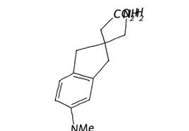 CNc1ccc2c(c1)CC(CN)(CC(=O)O)C2